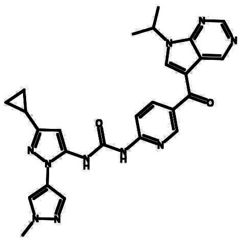 CC(C)n1cc(C(=O)c2ccc(NC(=O)Nc3cc(C4CC4)nn3-c3cnn(C)c3)nc2)c2cncnc21